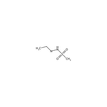 CC[N]NS(C)(=O)=O